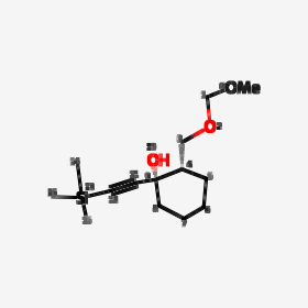 COCOC[C@@H]1CCCC[C@@]1(O)C#C[Si](C)(C)C